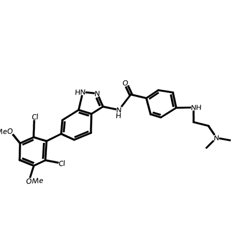 COc1cc(OC)c(Cl)c(-c2ccc3c(NC(=O)c4ccc(NCCN(C)C)cc4)n[nH]c3c2)c1Cl